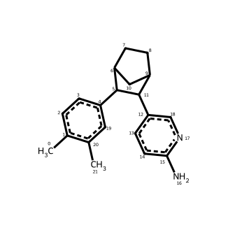 Cc1ccc(C2C3CCC(C3)C2c2ccc(N)nc2)cc1C